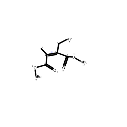 CCCCOC(=O)/C(C)=C(/CC(C)C)C(=O)OCCCC